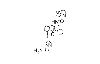 Cc1nn2cccnc2c1C(=O)N[C@@H](C)c1cc2cccc(C#Cc3cnn(C(=O)CN)c3)c2c(=O)n1-c1ccccc1